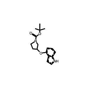 CC(C)(C)OC(=O)N1CCC(Oc2cccc3[nH]ccc23)C1